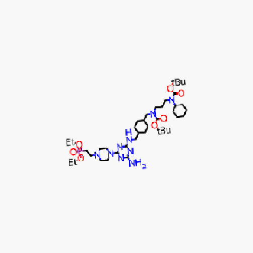 CCOP(=O)(CCN1CCN(c2nc(N)nc(NCC3CCC(CN(CCCN(C(=O)OC(C)(C)C)C4CCCCC4)C(=O)OC(C)(C)C)CC3)n2)CC1)OCC